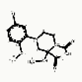 CNC1(C(C)=O)CN(c2cc(Cl)ccc2OC)CCN1C(=O)O